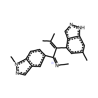 C/N=C(\C(=C(C)C)c1cc(C)cc2[nH]ncc12)c1ccc2c(cnn2C)c1